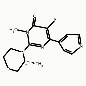 C[C@@H]1COCCN1c1nc(-c2ccncc2)c(F)c(=O)n1C